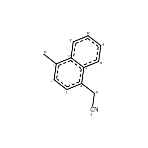 Cc1ccc(CC#N)c2ccccc12